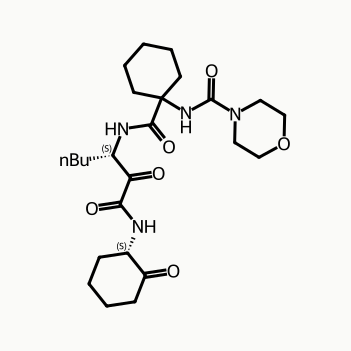 CCCC[C@H](NC(=O)C1(NC(=O)N2CCOCC2)CCCCC1)C(=O)C(=O)N[C@H]1CCCCC1=O